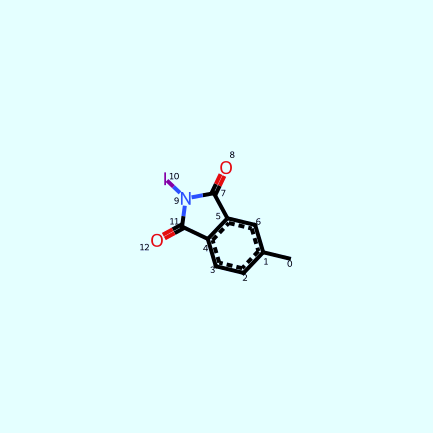 Cc1ccc2c(c1)C(=O)N(I)C2=O